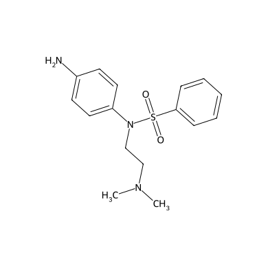 CN(C)CCN(c1ccc(N)cc1)S(=O)(=O)c1ccccc1